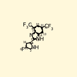 F[C@@H]1CN[C@H](c2nc3c(C(F)(F)F)cc(C(F)(F)F)cc3[nH]2)C1